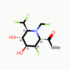 CNC(=O)[C@@H]1[C@@H](F)[C@@H](O)[C@H](O)[C@@H](C(F)F)N1CF